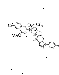 COC(=O)c1cc(Cl)ccc1CCN(C[C@H]1CCC2=C1[C@@H](C)c1cnn(-c3ccc(F)cc3)c1C2)S(=O)(=O)CC(F)(F)F